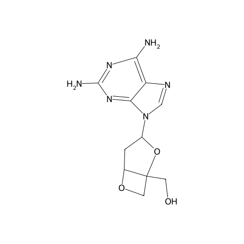 Nc1nc(N)c2ncn(C3CC4OCC4(CO)O3)c2n1